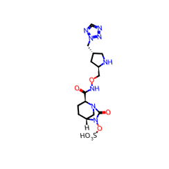 O=C(NOC[C@H]1C[C@H](Cn2ncnn2)CN1)[C@@H]1CC[C@@H]2CN1C(=O)N2OS(=O)(=O)O